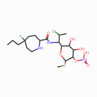 CCCC1(F)CCNC(C(=O)NC(C(C)Cl)C2OC(SC)C(O[PH](=O)O)C(O)C2O)CC1